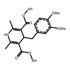 CCCOC(=O)C1=C(C)NC(C)=C(C(=O)OCCC)C1Cc1ccc(OC)c(OC)c1